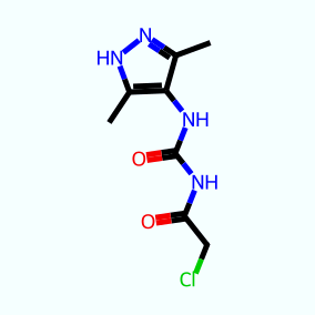 Cc1n[nH]c(C)c1NC(=O)NC(=O)CCl